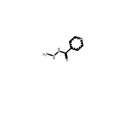 NNNC(=O)c1ccncc1